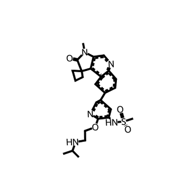 CC(C)NCCOc1ncc(-c2ccc3ncc4c(c3c2)C2(CCC2)C(=O)N4C)cc1NS(C)(=O)=O